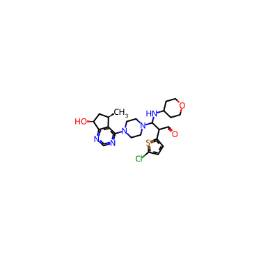 C[C@@H]1C[C@H](O)c2ncnc(N3CCN(C(NC4CCOCC4)C(C=O)c4ccc(Cl)s4)CC3)c21